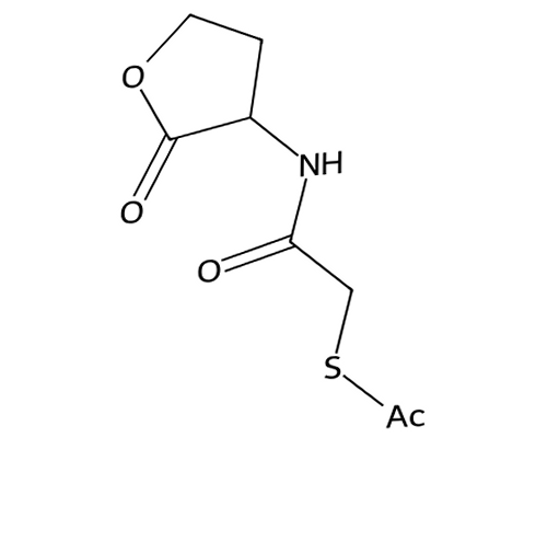 CC(=O)SCC(=O)NC1CCOC1=O